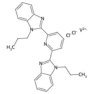 CCCn1c(-c2cccc(-c3nc4ccccc4n3CCC)n2)nc2ccccc21.[Cl-].[Cl-].[V+2]